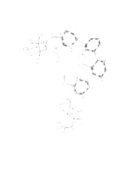 COc1nc(-c2cccc(-c3cccc(-c4ccc(CN5C[C@@H]6CNC[C@@H]65)c(OC)n4)c3Cl)c2Cl)ccc1CN1C[C@@H]2CNC[C@@H]21